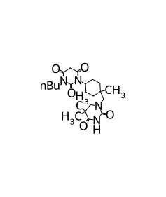 CCCCN1C(=O)CC(=O)N(C2CCC(C)(CN3CC(C)(C)C(=O)NC3=O)CC2)C1=O